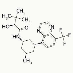 C[C@H]1C[C@@H](NC(=O)[C@@H](O)C(C)(C)C)C[C@@H](c2ccc(C(F)(F)F)c3nccnc23)C1